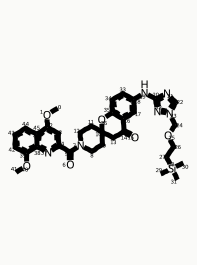 COc1cc(C(=O)N2CCC3(CC2)CC(=O)c2cc(Nc4ncn(COCC[Si](C)(C)C)n4)ccc2O3)nc2c(OC)cccc12